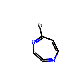 CCC1=NC=C=NC=C1